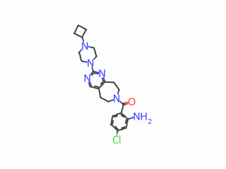 Nc1cc(Cl)ccc1C(=O)N1CCc2cnc(N3CCN(C4CCC4)CC3)nc2CC1